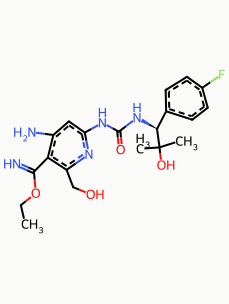 CCOC(=N)c1c(N)cc(NC(=O)N[C@@H](c2ccc(F)cc2)C(C)(C)O)nc1CO